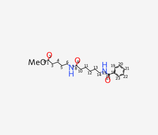 COC(=O)CCCCNC(=O)CCCCCNC(=O)c1ccccc1